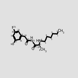 CCCCCCN[C@@H](C)C(=O)NC(=O)Cc1cc(F)cc(F)c1